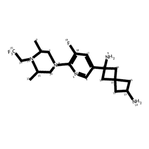 CC1CN(c2ncc(C3(N)CC4(CC(N)C4)C3)cc2F)CC(C)N1CC(F)(F)F